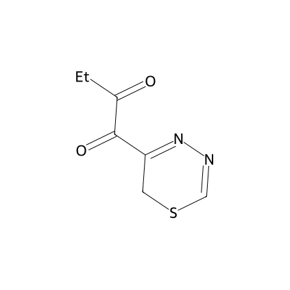 CCC(=O)C(=O)C1=NN=CSC1